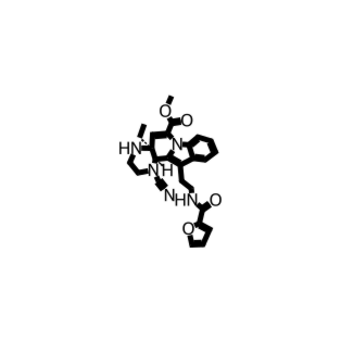 CC[C@]12C=C(C(=O)OC)n3c(c(CCNC(=O)c4ccco4)c4ccccc43)[C@H]1N(C#N)CCN2